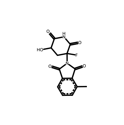 Cc1cccc2c1C(=O)N(C1(F)CC(O)C(=O)NC1=O)C2=O